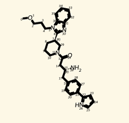 COCCCn1c([C@@H]2CCCN(C(=O)C[C@H](N)Cc3ccc(-c4ccc[nH]4)cc3)C2)nc2ccccc21